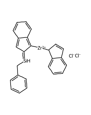 C1=C[CH]([Zr+2][C]2=c3ccccc3=CC2=[SiH]Cc2ccccc2)c2ccccc21.[Cl-].[Cl-]